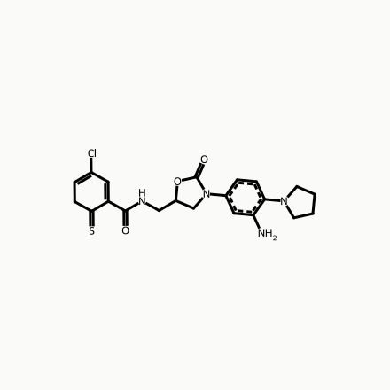 Nc1cc(N2CC(CNC(=O)C3=CC(Cl)=CCC3=S)OC2=O)ccc1N1CCCC1